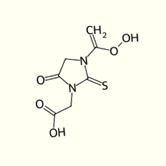 C=C(OO)N1CC(=O)N(CC(=O)O)C1=S